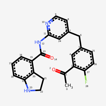 CC(=O)c1cc(Cc2ccnc(NC(=O)c3cccc4c3CCN4)c2)ccc1F